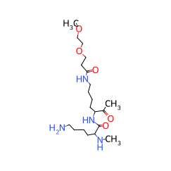 CNC(CCCCN)C(=O)NC(CCCCNC(=O)CCOCCOC)C(C)=O